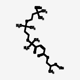 COC(C)(C)CCOC(C)(C)CCOC(C)(C)C(=O)/C=C\C(=O)OCC(C)OC(C)(C)C